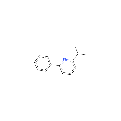 CC(C)c1cccc(-c2ccccc2)n1